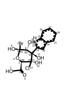 O=C(O)[C@H]1O[C@](O)(Br)[C@H](O)[C@](O)(c2cc3ccccc3[nH]2)[C@@]1(O)Cl